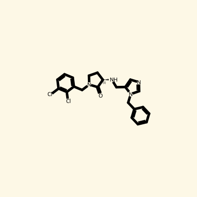 O=C1[C@@H](NCc2cncn2Cc2ccccc2)CCN1Cc1cccc(Cl)c1Cl